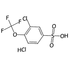 Cl.O=S(=O)(O)c1ccc(OC(F)(F)F)c(Cl)c1